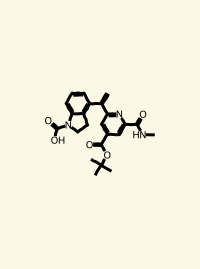 C=C(c1cc(C(=O)OC(C)(C)C)cc(C(=O)NC)n1)c1cccc2c1CCN2C(=O)O